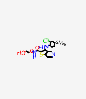 CSc1ccc(Nc2c(C(=O)NOCCO)sc3ccncc23)c(Cl)c1